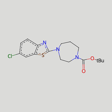 CC(C)(C)OC(=O)N1CCCN(c2nc3ccc(Cl)cc3s2)CC1